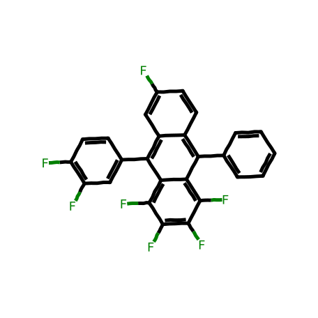 Fc1ccc2c(-c3ccccc3)c3c(F)c(F)c(F)c(F)c3c(-c3ccc(F)c(F)c3)c2c1